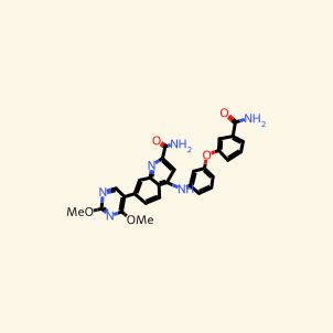 COc1ncc(-c2ccc3c(Nc4cccc(Oc5cccc(C(N)=O)c5)c4)cc(C(N)=O)nc3c2)c(OC)n1